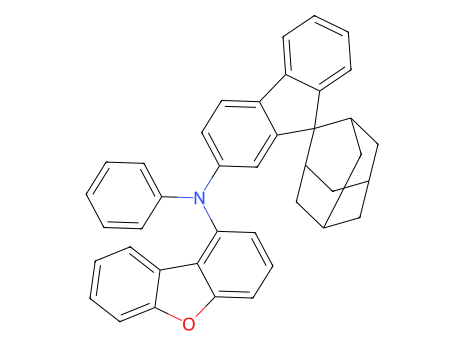 c1ccc(N(c2ccc3c(c2)C2(c4ccccc4-3)C3CC4CC(C3)CC2C4)c2cccc3oc4ccccc4c23)cc1